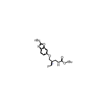 CCCCc1nc2ccc(OC/C(=C\F)CNC(=O)OC(C)(C)C)cc2o1